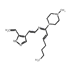 C=Cc1[nH]ncc1/C=C/N=C(\C=C\CCCC)N1CCN(C)CC1